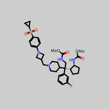 COC(=O)NCC(c1cccc(F)c1)(C1CCN(CC2CN(c3ccc(S(=O)(=O)C4CC4)cc3)C2)CC1)[C@H]1CCC[C@@H]1NC(=O)OC